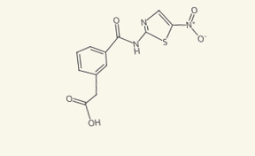 O=C(O)Cc1cccc(C(=O)Nc2ncc([N+](=O)[O-])s2)c1